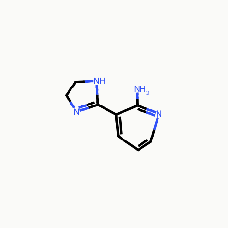 Nc1ncccc1C1=NCCN1